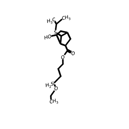 CCO[SiH2]CCCOC(=O)C1CC2CC(O)C1C2SC(C)C